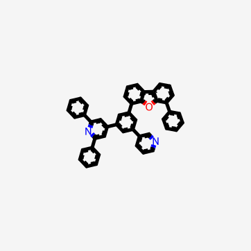 c1ccc(-c2cc(-c3cc(-c4cccnc4)cc(-c4cccc5c4oc4c(-c6ccccc6)cccc45)c3)cc(-c3ccccc3)n2)cc1